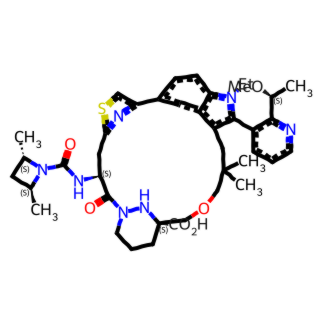 CCn1c(-c2cccnc2[C@H](C)OC)c2c3cc(ccc31)-c1csc(n1)C[C@H](NC(=O)N1[C@@H](C)C[C@@H]1C)C(=O)N1CCC[C@@](C(=O)O)(COCC(C)(C)C2)N1